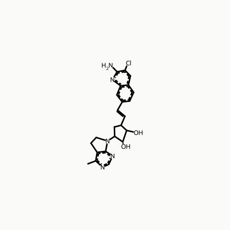 Cc1ncnc2c1CCN2C1CC(/C=C/c2ccc3cc(Cl)c(N)nc3c2)C(O)[C@@H]1O